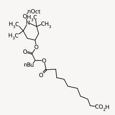 CCCCCCCCON1C(C)(C)CC(OC(=O)C(CCCC)OC(=O)CCCCCCCCC(=O)O)CC1(C)C